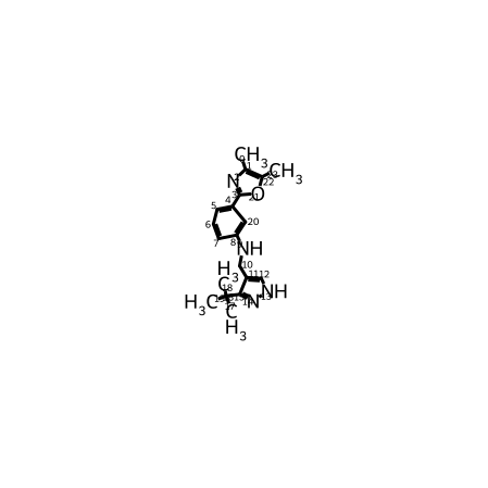 Cc1nc(-c2cccc(NCc3c[nH]nc3C(C)(C)C)c2)oc1C